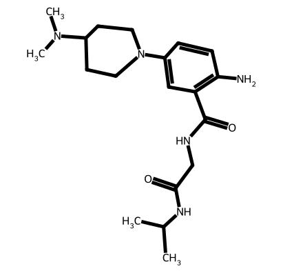 CC(C)NC(=O)CNC(=O)c1cc(N2CCC(N(C)C)CC2)ccc1N